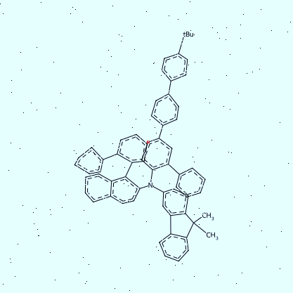 CC(C)(C)c1ccc(-c2ccc(-c3ccc(N(c4ccc5c(c4)-c4ccccc4C5(C)C)c4ccc5ccccc5c4-c4ccccc4-c4ccccc4)c(-c4ccccc4)c3)cc2)cc1